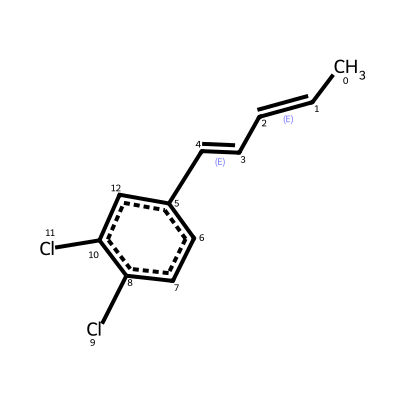 C/C=C/C=C/c1ccc(Cl)c(Cl)c1